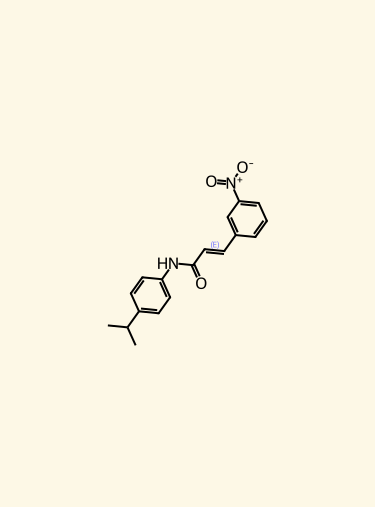 CC(C)c1ccc(NC(=O)/C=C/c2cccc([N+](=O)[O-])c2)cc1